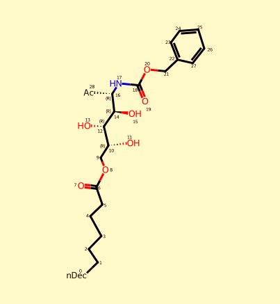 CCCCCCCCCCCCCCCC(=O)OC[C@@H](O)[C@H](O)[C@H](O)[C@@H](NC(=O)OCc1ccccc1)C(C)=O